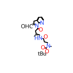 C[C@H](CNC(=O)CCN(C)C(=O)OC(C)(C)C)CC(=O)N1c2ncccc2C[C@H]1C=O